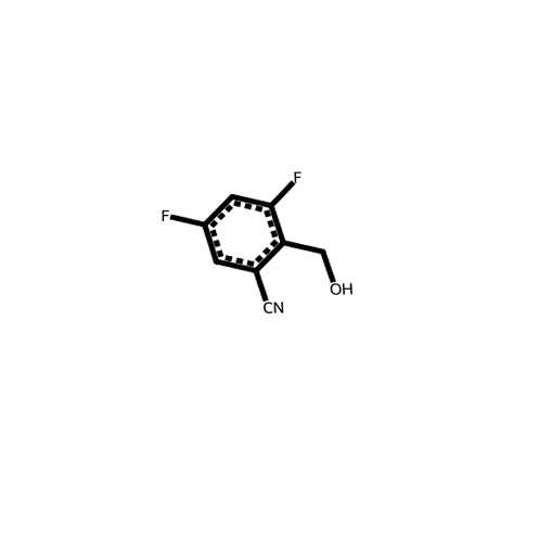 N#Cc1cc(F)cc(F)c1CO